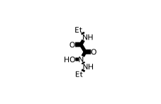 CCNC(=O)C(=O)N(O)NCC